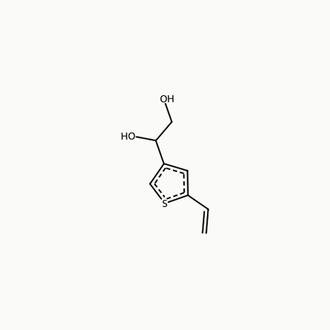 C=Cc1cc(C(O)CO)cs1